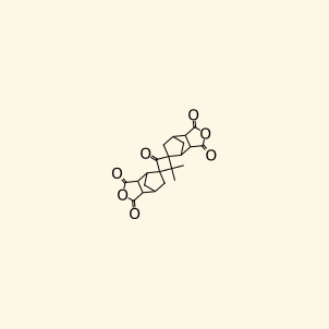 CC1(C)C2(CC3CC2C2C(=O)OC(=O)C32)C(=O)C12CC1CC2C2C(=O)OC(=O)C12